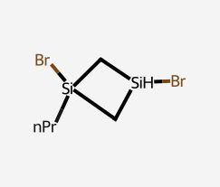 CCC[Si]1(Br)C[SiH](Br)C1